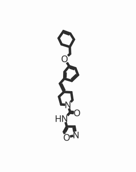 O=C(Nc1cnoc1)N1CCC(=Cc2cccc(OCC3CC=CCC3)c2)CC1